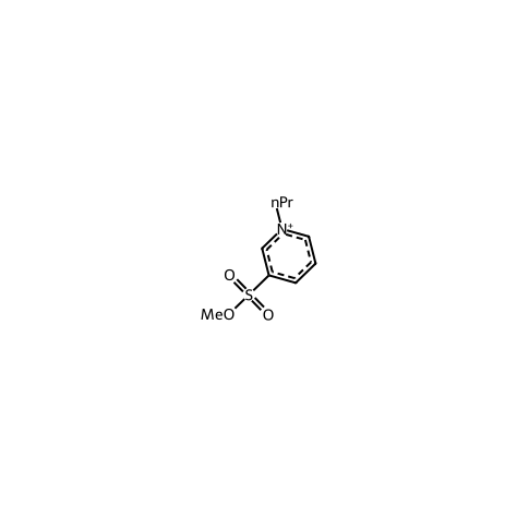 CCC[n+]1cccc(S(=O)(=O)OC)c1